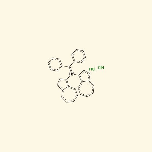 Cl.Cl.c1ccc([C](c2ccccc2)=[Hf]([c]2ccc3cccccc2-3)[c]2ccc3cccccc2-3)cc1